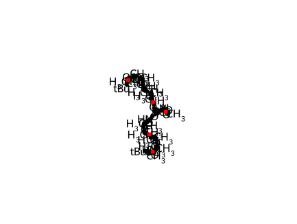 CC(C)(C)CCC(C)(C)C(=O)NCC(C)(C)COCC(C)(C)CC(=O)NCC(C)(C)COCC(C)(C)CC(=O)NCCOc1cc(OCCNC(=O)CC(C)(C)OCC(C)(C)CNC(=O)CC(C)(C)COCC(C)(C)CNC(=O)C(C)(C)CCC(C)(C)C)cc(-c2nnc(S(C)(=O)=O)o2)c1